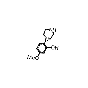 COc1ccc(N2CCNCC2)c(O)c1